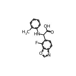 Cc1ccccc1NC(C(=O)O)c1ccc2ncoc2c1F